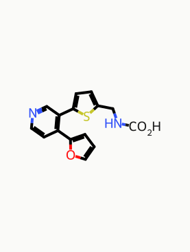 O=C(O)NCc1ccc(-c2cnccc2-c2ccco2)s1